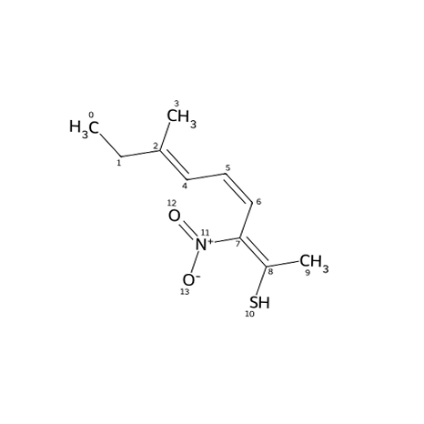 CC/C(C)=C/C=C\C(=C(/C)S)[N+](=O)[O-]